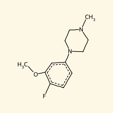 COc1cc(N2CCN(C)CC2)ccc1F